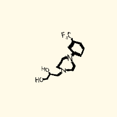 OCC(O)CN1CCN(c2cccc(C(F)(F)F)c2)CC1